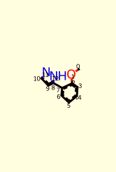 COc1c[c]ccc1-c1ccn[nH]1